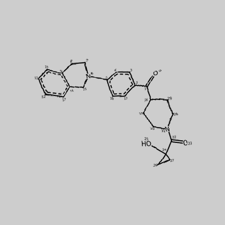 O=C(c1ccc(N2CCc3ccccc3C2)cc1)C1CCN(C(=O)C2(O)CC2)CC1